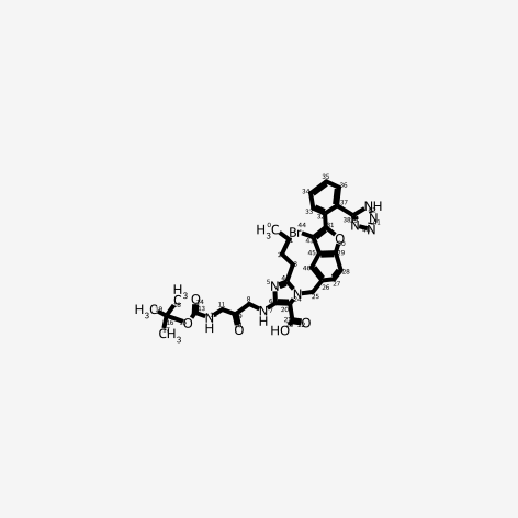 CCCCc1nc(NCC(=O)CNC(=O)OC(C)(C)C)c(C(=O)O)n1Cc1ccc2oc(-c3ccccc3-c3nnn[nH]3)c(Br)c2c1